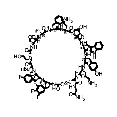 CCCC[C@H]1C(=O)N(CCO)CC(=O)N[C@@H](CC(=O)O)C(=O)N[C@@H](C(C)C)C(=O)N(C)[C@@H](Cc2ccccc2)C(=O)N[C@@H](CCN)C(=O)N2C[C@H](O)C[C@@H]2C(=O)N[C@@H](Cc2c[nH]c3ccccc23)C(=O)N[C@@H](Cc2ccc(O)cc2)C(=O)N[C@@H](CCCN)C(=O)N[C@H](C(=O)NCC(N)=O)CSCC(=O)N[C@@H](Cc2cc(F)c(F)c(F)c2)C(=O)N(C)[C@@H](Cc2ccc(F)cc2)C(=O)N1C